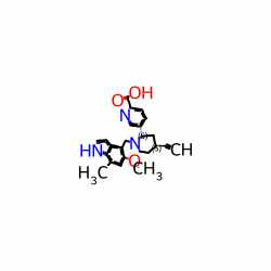 C#C[C@H]1CCN(Cc2c(OC)cc(C)c3[nH]ccc23)[C@H](c2ccc(C(=O)O)nc2)C1